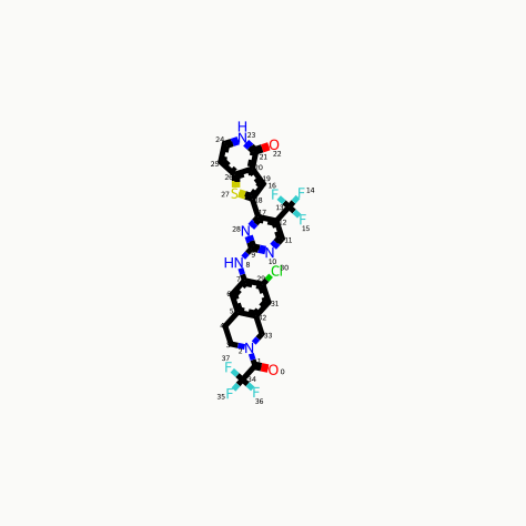 O=C(N1CCc2cc(Nc3ncc(C(F)(F)F)c(-c4cc5c(=O)[nH]ccc5s4)n3)c(Cl)cc2C1)C(F)(F)F